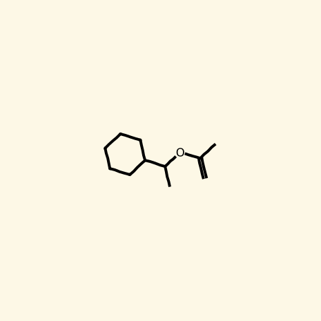 C=C(C)OC(C)C1CCCCC1